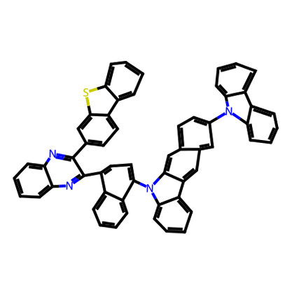 c1ccc2nc(-c3ccc(-n4c5ccccc5c5cc6cc(-n7c8ccccc8c8ccccc87)ccc6cc54)c4ccccc34)c(-c3ccc4c(c3)sc3ccccc34)nc2c1